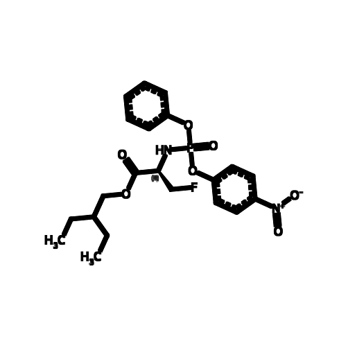 CCC(CC)COC(=O)[C@H](CF)NP(=O)(Oc1ccccc1)Oc1ccc([N+](=O)[O-])cc1